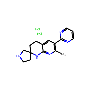 Cl.Cl.FC(F)(F)c1nc2c(cc1-c1ncccn1)CCC1(CCNC1)N2